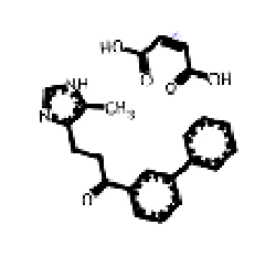 Cc1[nH]cnc1CCC(=O)c1cccc(-c2ccccc2)c1.O=C(O)/C=C\C(=O)O